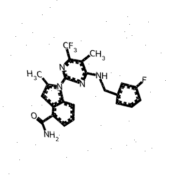 Cc1c(NCc2cccc(F)c2)nc(-n2c(C)cc3c(C(N)=O)cccc32)nc1C(F)(F)F